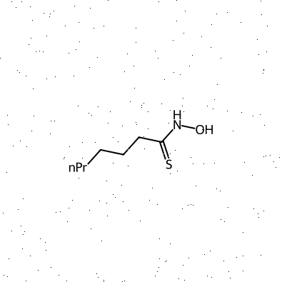 CCCCCCC(=S)NO